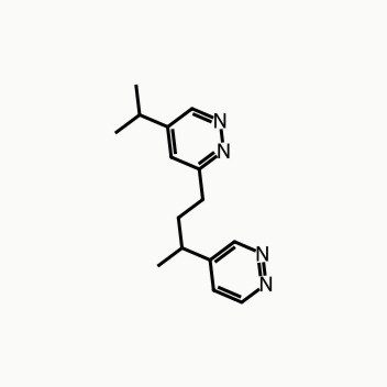 CC(C)c1cnnc(CCC(C)c2ccnnc2)c1